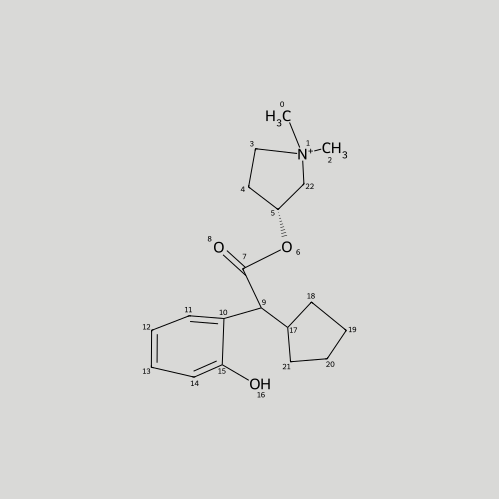 C[N+]1(C)CC[C@@H](OC(=O)C(c2ccccc2O)C2CCCC2)C1